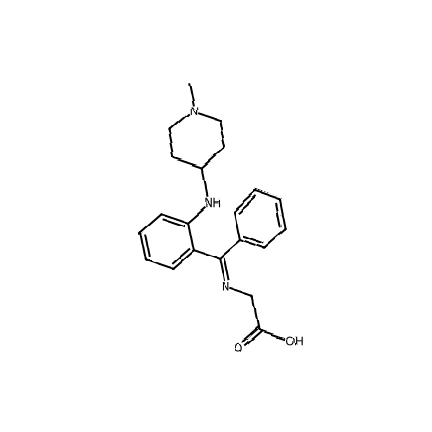 CN1CCC(Nc2ccccc2/C(=N/CC(=O)O)c2ccccc2)CC1